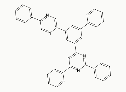 c1ccc(-c2cc(-c3cnc(-c4ccccc4)cn3)cc(-c3nc(-c4ccccc4)nc(-c4ccccc4)n3)c2)cc1